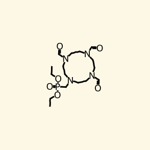 CCOP(=O)(CN1CCN(C=O)CCN(C=O)CCN(C=O)CC1)OCC